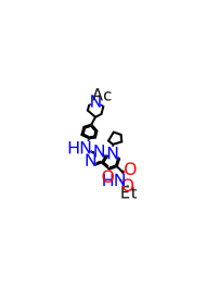 CCONC(=O)c1cn(C2CCCC2)c2nc(Nc3ccc(C4CCN(C(C)=O)CC4)cc3)ncc2c1=O